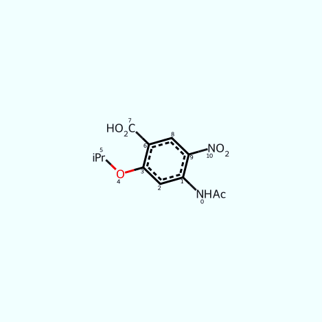 CC(=O)Nc1cc(OC(C)C)c(C(=O)O)cc1[N+](=O)[O-]